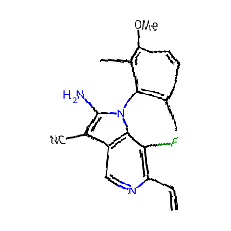 C=Cc1ncc2c(C#N)c(N)n(-c3c(C)ccc(OC)c3C)c2c1F